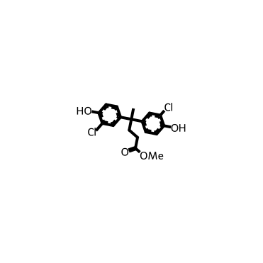 COC(=O)CCC(C)(c1ccc(O)c(Cl)c1)c1ccc(O)c(Cl)c1